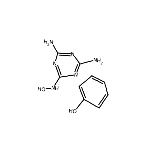 Nc1nc(N)nc(NO)n1.Oc1ccccc1